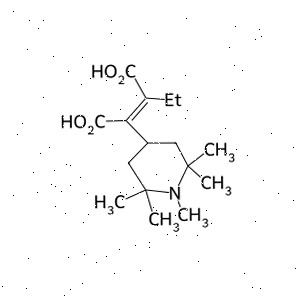 CC/C(C(=O)O)=C(/C(=O)O)C1CC(C)(C)N(C)C(C)(C)C1